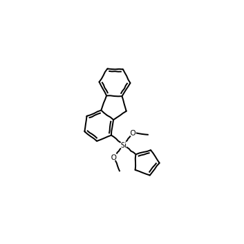 CO[Si](OC)(C1=CC=CC1)c1cccc2c1Cc1ccccc1-2